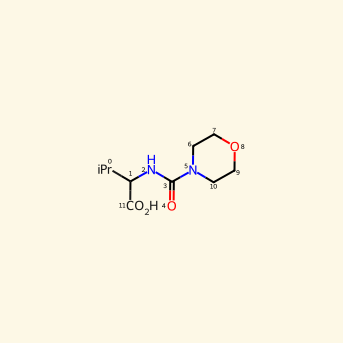 CC(C)C(NC(=O)N1CCOCC1)C(=O)O